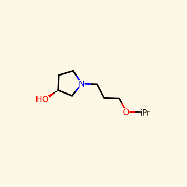 CC(C)OCCCN1CC[C@H](O)C1